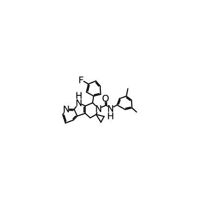 Cc1cc(C)cc(NC(=O)N2C(c3cccc(F)c3)c3[nH]c4ncccc4c3CC23CC3)c1